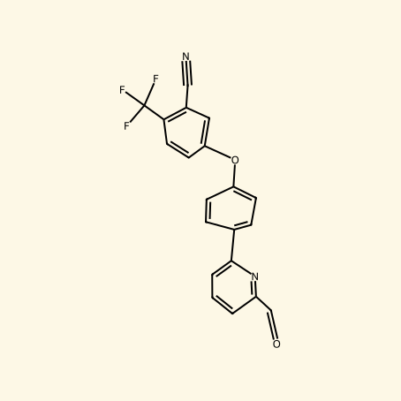 N#Cc1cc(Oc2ccc(-c3cccc(C=O)n3)cc2)ccc1C(F)(F)F